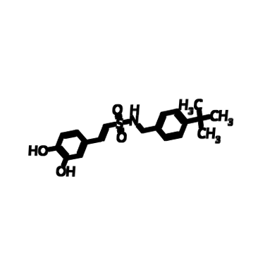 CC(C)(C)c1ccc(CNS(=O)(=O)/C=C/c2ccc(O)c(O)c2)cc1